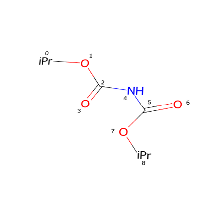 CC(C)OC(=O)NC(=O)OC(C)C